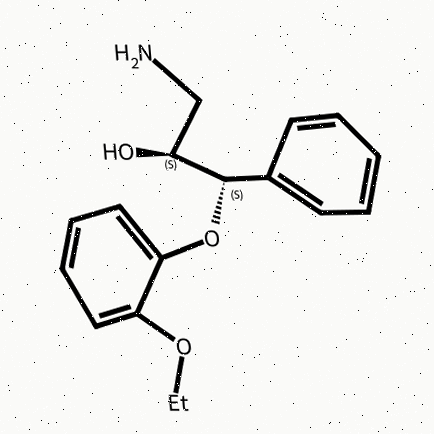 CCOc1ccccc1O[C@@H](c1ccccc1)[C@@H](O)CN